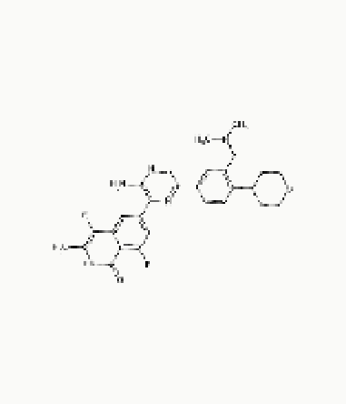 Cc1[nH]c(=O)c2c(F)cc(-c3nc(-c4ccc(C5CCOCC5)c(CN(C)C)c4)cnc3N)cc2c1F